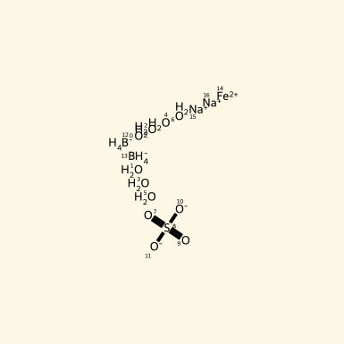 O.O.O.O.O.O.O.O=S(=O)([O-])[O-].[BH4-].[BH4-].[Fe+2].[Na+].[Na+]